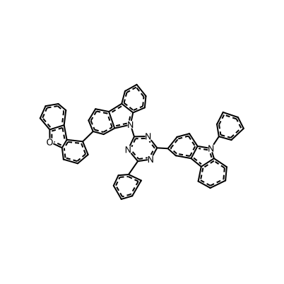 c1ccc(-c2nc(-c3ccc4c(c3)c3ccccc3n4-c3ccccc3)nc(-n3c4ccccc4c4ccc(-c5cccc6oc7ccccc7c56)cc43)n2)cc1